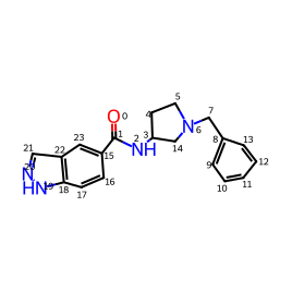 O=C(NC1CCN(Cc2ccccc2)C1)c1ccc2[nH]ncc2c1